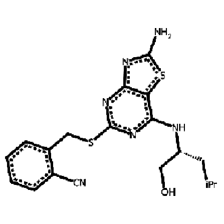 CC(C)C[C@H](CO)Nc1nc(SCc2ccccc2C#N)nc2nc(N)sc12